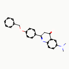 CN(C)c1ccc2c(c1)C(=O)CC(c1ccc(OCc3ccccc3)cc1)=N2